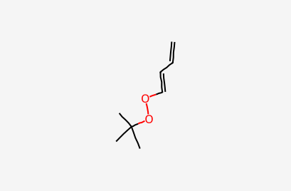 C=CC=COOC(C)(C)C